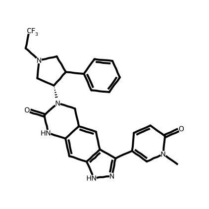 Cn1cc(-c2n[nH]c3cc4c(cc23)CN([C@@H]2CN(CC(F)(F)F)CC2c2ccccc2)C(=O)N4)ccc1=O